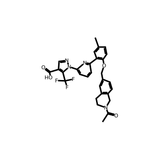 CC(=O)N1CCc2cc(COc3ccc(C)cc3-c3cccc(-n4ncc(C(=O)O)c4C(F)(F)F)n3)ccc2C1